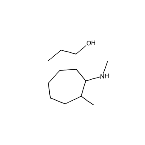 CCCO.CNC1CCCCCC1C